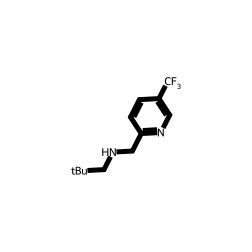 CC(C)(C)CNCc1ccc(C(F)(F)F)cn1